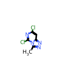 Cc1nnc2cc(Cl)nc(Cl)n12